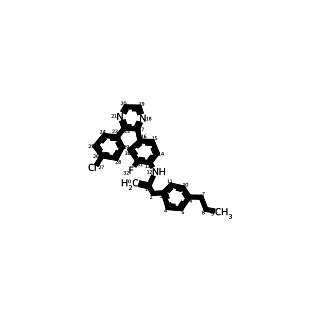 C=C(Cc1ccc(CCC)cc1)Nc1ccc(-c2nccnc2-c2ccc(Cl)cc2)cc1F